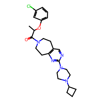 CC(Oc1cccc(Cl)c1)C(=O)N1CCc2cnc(N3CCN(C4CCC4)CC3)nc2CC1